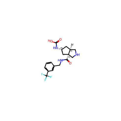 O=C(O)N[C@@H]1C[C@H]2CNC[C@@]2(C(=O)NCc2cccc(C(F)(F)F)c2)C1